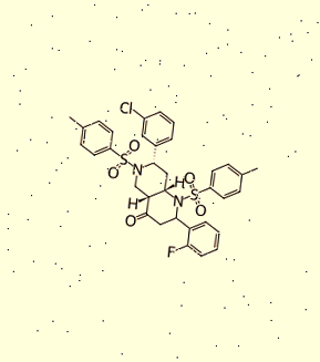 Cc1ccc(S(=O)(=O)N2C[C@H]3C(=O)CC(c4ccccc4F)N(S(=O)(=O)c4ccc(C)cc4)[C@H]3C[C@H]2c2cccc(Cl)c2)cc1